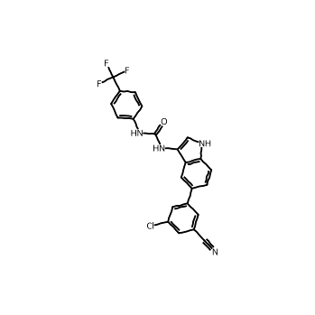 N#Cc1cc(Cl)cc(-c2ccc3[nH]cc(NC(=O)Nc4ccc(C(F)(F)F)cc4)c3c2)c1